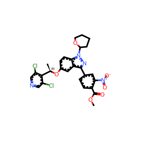 COC(=O)c1ccc(-c2nn(C3CCCCO3)c3ccc(O[C@H](C)c4c(Cl)cncc4Cl)cc23)cc1[N+](=O)[O-]